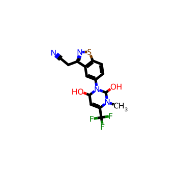 CN1C(C(F)(F)F)=CC(O)N(c2ccc3snc(CC#N)c3c2)C1O